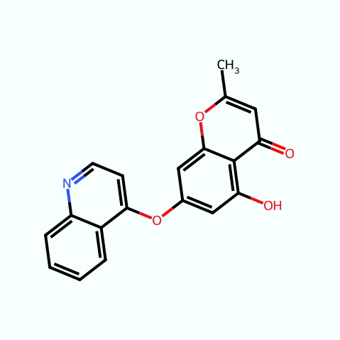 Cc1cc(=O)c2c(O)cc(Oc3ccnc4ccccc34)cc2o1